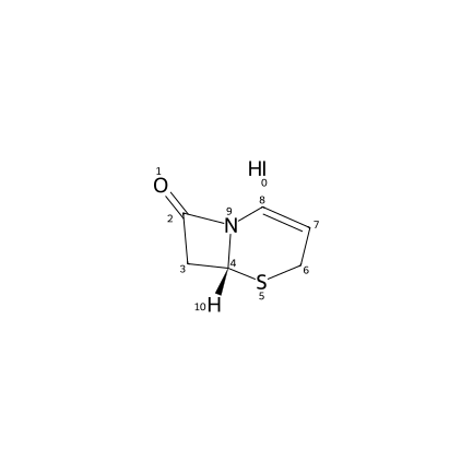 I.O=C1C[C@H]2SCC=CN12